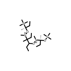 CCC(O[SiH](C)[C@](C)(CC)O[Si](C)(C)C)C(C)(CC)[SiH](C)O[C@](C)(CC)[Si](C)(C)C